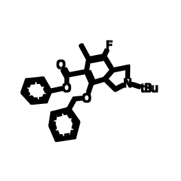 CC1=C(F)C2CN(C(C)(C)C)CC2C(OCc2ccccc2)=C1C(=O)Oc1ccccc1